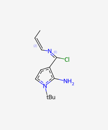 C/C=C\N=C(\Cl)c1ccn(C(C)(C)C)c1N